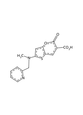 CN(Cc1ccccn1)c1cc2oc(=O)c(C(=O)O)cc2s1